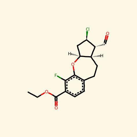 CCOC(=O)c1ccc2c(c1F)O[C@H]1C[C@@H](Cl)[C@H](C=O)[C@H]1CC2